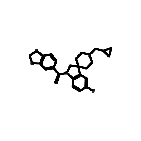 O=C(c1ccc2c(c1)OCO2)N1CC2(CCN(CC3CC3)CC2)c2cc(F)ccc21